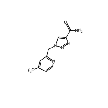 NC(=O)c1cn(Cc2cc(C(F)(F)F)ccn2)nn1